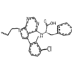 C=CCn1cc(-c2cccc(Cl)c2C)c2c(N[C@H](Cc3ccccc3)C(=O)O)ncnc21